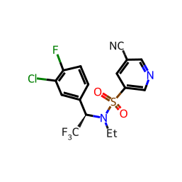 CCN([C@H](c1ccc(F)c(Cl)c1)C(F)(F)F)S(=O)(=O)c1cncc(C#N)c1